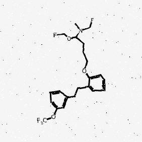 CN(CF)C(CCCOc1ccccc1CCc1cccc(OC(F)(F)F)c1)OCF